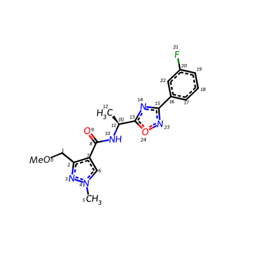 COCc1nn(C)cc1C(=O)N[C@@H](C)c1nc(-c2cccc(F)c2)no1